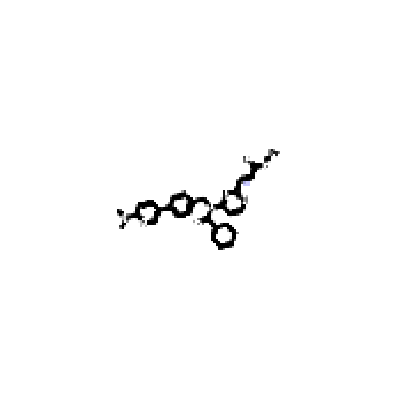 CC(C)OC(=O)/C=C/c1nccc(N(Cc2ccc(-c3ccc(N(C)C)nc3)cc2)C(=O)C2CCCCC2)n1